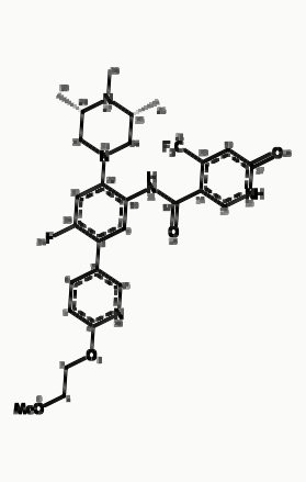 COCCOc1ccc(-c2cc(NC(=O)c3c[nH]c(=O)cc3C(F)(F)F)c(N3C[C@@H](C)N(C)[C@@H](C)C3)cc2F)cn1